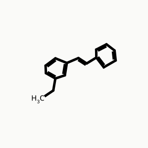 CCc1cccc(C=Cc2ccccc2)c1